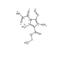 CCOC(=O)c1c(C)c(C=O)n(C(=O)C(=O)O)c1C